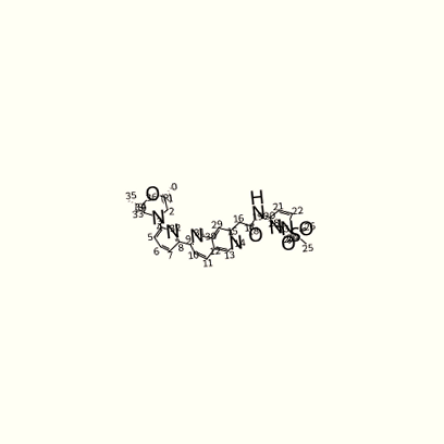 C[C@@H]1CN(c2cccc(-c3ccc4cnc(CC(=O)Nc5ccn(S(C)(=O)=O)n5)cc4n3)n2)C[C@H](C)O1